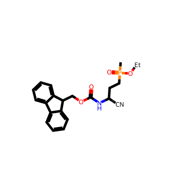 CCOP(C)(=O)CCC(C#N)NC(=O)OCC1c2ccccc2-c2ccccc21